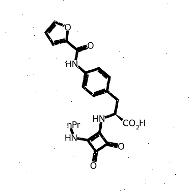 CCCNc1c(N[C@@H](Cc2ccc(NC(=O)c3ccco3)cc2)C(=O)O)c(=O)c1=O